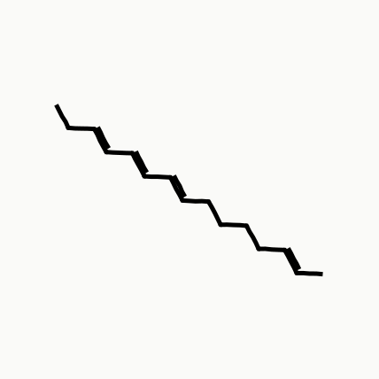 CC=CCCCCC=CC=CC=CCC